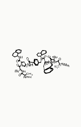 CN[C@@H](C)C(=O)N[C@H](C(=O)N1C[C@@H](NC(=O)c2ccc(CN(C(=O)[C@@H]3Cc4ccccc4CN3C(=O)[C@@H](NC(=O)[C@H](C)NC)C(C)(C)C)[C@@H]3CCCc4ccccc43)cc2)C[C@H]1C(=O)NC1CCCc2ccccc21)C(C)(C)C